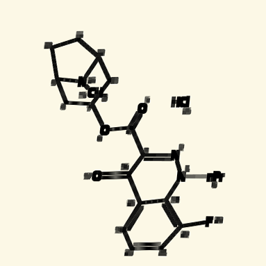 CCCn1nc(C(=O)OC2CC3CCC(C2)N3C)c(=O)c2cccc(F)c21.Cl